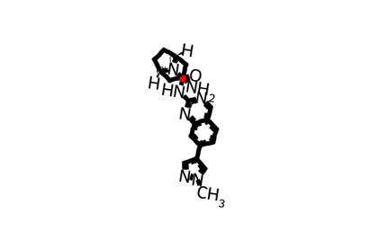 Cn1cc(-c2ccc3cnc(NC(=O)N4[C@@H]5CC[C@H]4CC(N)C5)nc3c2)cn1